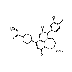 C=CC(=O)N1CCN(c2nc(=O)n3c4c(c(-c5ccc(F)c(Cl)c5)c(C)cc24)SC[C@H](OC)C3)CC1